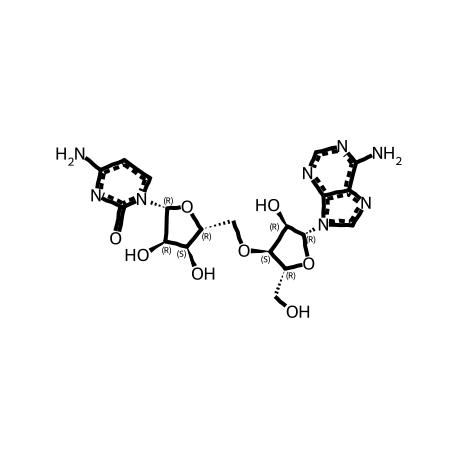 Nc1ccn([C@@H]2O[C@H](CO[C@H]3[C@@H](O)[C@H](n4cnc5c(N)ncnc54)O[C@@H]3CO)[C@@H](O)[C@H]2O)c(=O)n1